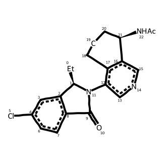 CC[C@@H]1c2cc(Cl)ccc2C(=O)N1c1cncc2c1CCC[C@H]2NC(C)=O